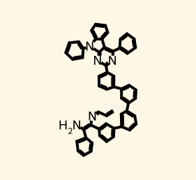 C=C/C=N\C(=C(/N)c1ccccc1)c1cccc(-c2cccc(-c3cccc(-c4cccc(-c5nc(-c6ccccc6)c6c7ccccc7n(-c7ccccc7)c6n5)c4)c3)c2)c1